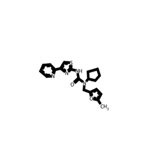 Cc1ccc(CN(C(=O)Nc2nc(-c3ccccn3)cs2)C2CCCC2)o1